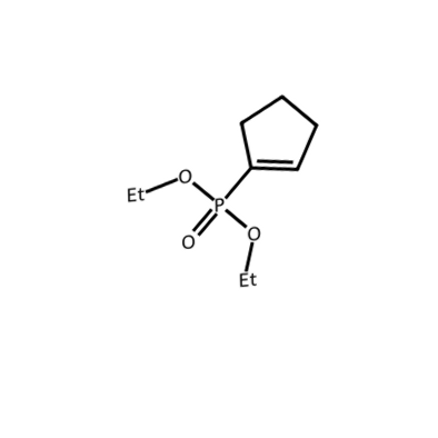 CCOP(=O)(OCC)C1=CCCC1